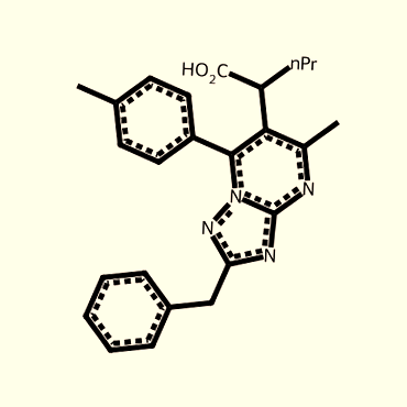 CCCC(C(=O)O)c1c(C)nc2nc(Cc3ccccc3)nn2c1-c1ccc(C)cc1